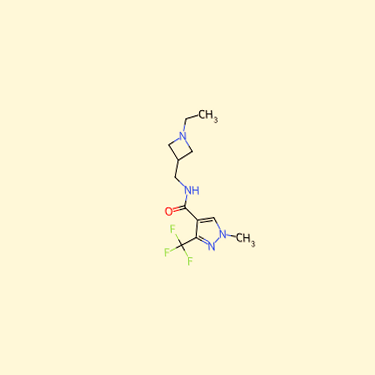 CCN1CC(CNC(=O)c2cn(C)nc2C(F)(F)F)C1